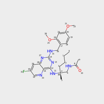 CCCC[C@](C)(CNC(C)=O)Nc1nc(NCc2ccc(OC)cc2OC)nc2cc(F)cnc12